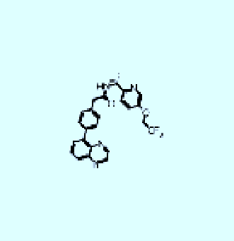 C[C@@H](NC(=O)Cc1ccc(-c2cccc3nccnc23)cc1)c1ccc(OCC(F)(F)F)cn1